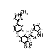 Cn1ccc(-c2ccc(Cc3cc4c(c(C(=O)N[C@H]5CCC[C@@H]5O)c3)OCO4)cn2)n1